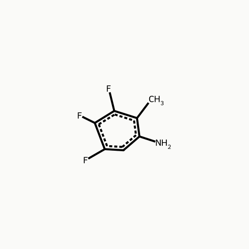 Cc1c(N)cc(F)c(F)c1F